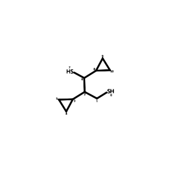 SCC(C1CC1)C(S)C1CC1